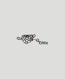 COCCOCCN1CC2C3=c4c5c6c7c8c9c(cc%10c%11c%12c%13c%14c(cc%15c%16c(c4c6c(c%16%14)c%13c7c%119)=C(C3)C%15)=C3C4CC(c6ccccc64)C3%12C%10)=CC3CC2(C=5C83)C1c1ccccc1OC